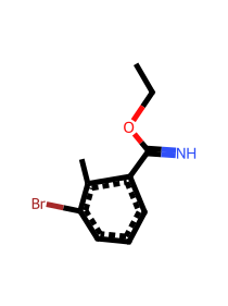 CCOC(=N)c1cccc(Br)c1C